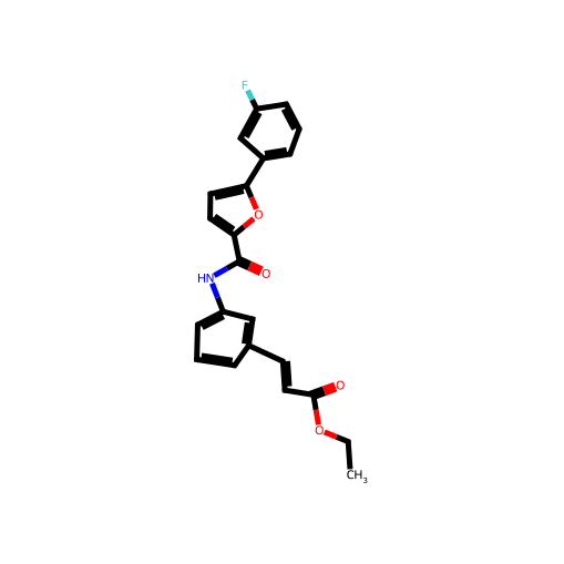 CCOC(=O)/C=C/c1cccc(NC(=O)c2ccc(-c3cccc(F)c3)o2)c1